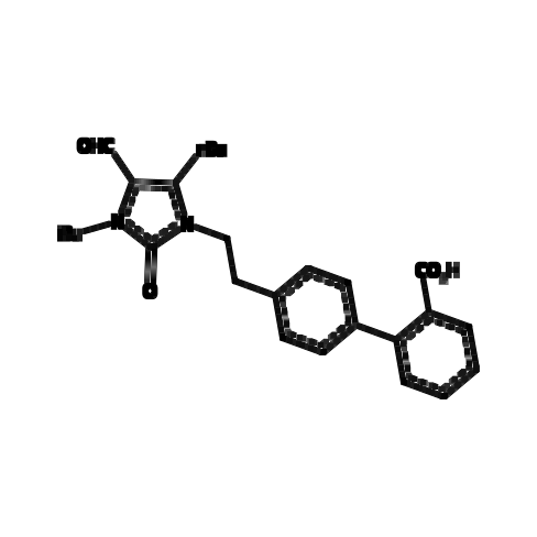 CCCCc1c(C=O)n(C(C)CC)c(=O)n1CCc1ccc(-c2ccccc2C(=O)O)cc1